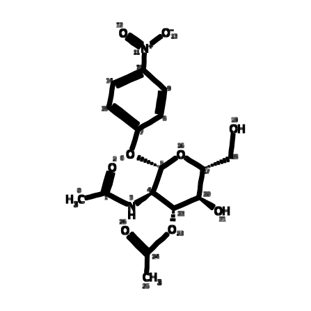 CC(=O)N[C@H]1[C@H](Oc2ccc([N+](=O)[O-])cc2)O[C@H](CO)[C@@H](O)[C@@H]1OC(C)=O